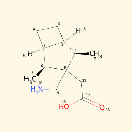 C[C@@H]1[C@@H]2CC[C@@H]2[C@H](C)C1(CN)CC(=O)O